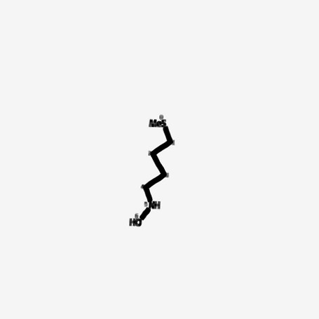 CSCCCCNO